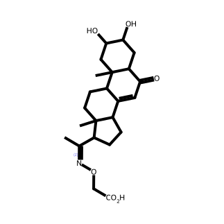 C/C(=N/OCC(=O)O)C1CCC2C3=CC(=O)C4CC(O)C(O)CC4(C)C3CCC21C